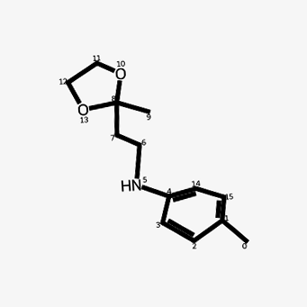 Cc1ccc(NCCC2(C)OCCO2)cc1